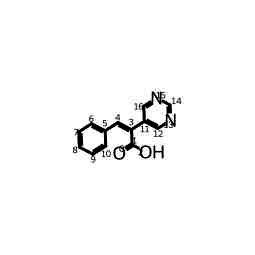 O=C(O)C(=Cc1ccccc1)c1cncnc1